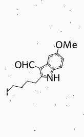 COc1ccc2[nH]c(CCCCI)c(C=O)c2c1